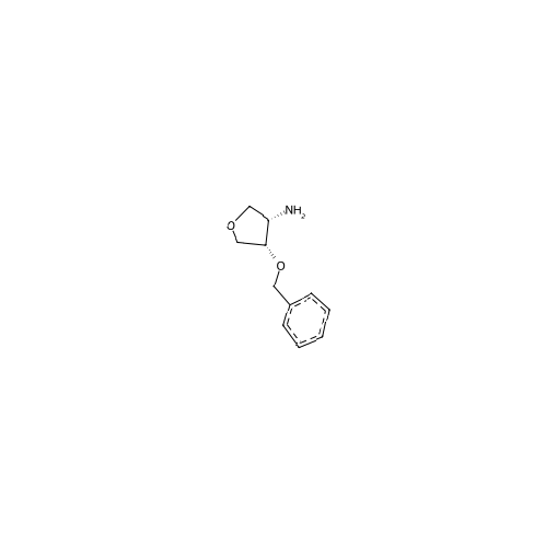 N[C@H]1COC[C@H]1OCc1ccccc1